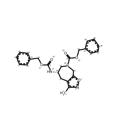 Cc1noc2c1C[C@H](NC(=O)OCc1ccccc1)CN(C(=O)OCc1ccccc1)C2